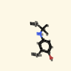 CC(C)(Nc1ccc(Br)c(C(=O)O)c1)C(=O)O